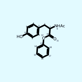 CC(=O)NC(Cc1ccc(O)cc1)C(=O)Oc1ccccc1